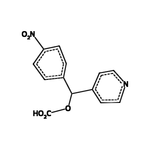 O=C(O)OC(c1ccncc1)c1ccc([N+](=O)[O-])cc1